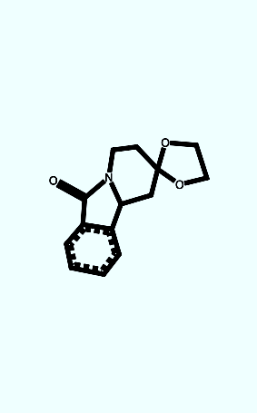 O=C1c2ccccc2C2CC3(CCN12)OCCO3